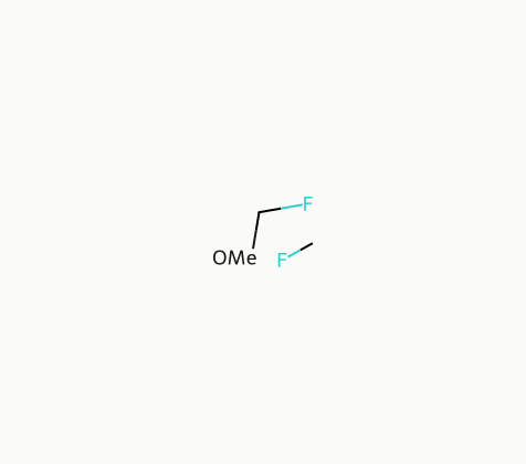 CF.COCF